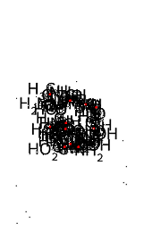 C[C@H](N)C(=O)N[C@@H](CC(N)=O)C(=O)N[C@@H](CO)C(=O)NCC(=O)N[C@@H](C)C(=O)NCC(=O)NCC(=O)N[C@@H](CO)C(=O)NCC(=O)NCC(=O)N[C@@H](CO)C(=O)N[C@@H](CO)C(=O)NCC(=O)N[C@@H](CO)C(=O)N[C@@H](CC(=O)O)C(=O)NCC(=O)N[C@@H](C)C(=O)N[C@@H](CO)C(=O)NCC(=O)N[C@@H](CO)C(=O)N[C@@H](CCCNC(=N)N)C(=O)O